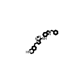 c1ccc(Cn2cc3ccc(Nc4ncnn5c(Cc6ccc7c(c6)CNCC7)ccc45)cc3n2)cc1